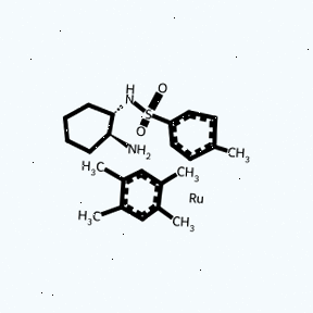 Cc1cc(C)c(C)cc1C.Cc1ccc(S(=O)(=O)N[C@H]2CCCC[C@@H]2N)cc1.[Ru]